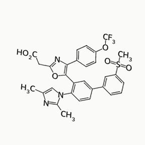 Cc1cn(-c2ccc(-c3cccc(S(C)(=O)=O)c3)cc2-c2oc(CC(=O)O)nc2-c2ccc(OC(F)(F)F)cc2)c(C)n1